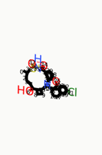 CC1C/C=C/C(O)C2CCC2CN2CC3(CCCc4cc(Cl)ccc43)COc3ccc(cc32)C(=O)N[S+]([O-])C1